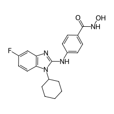 O=C(NO)c1ccc(Nc2nc3cc(F)ccc3n2C2CCCCC2)cc1